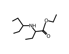 CCOC(=O)C(CC)NC(CC)CC